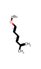 C=C(C)/C=C/C=C/OCCCC